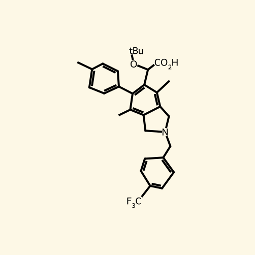 Cc1ccc(-c2c(C)c3c(c(C)c2C(OC(C)(C)C)C(=O)O)CN(Cc2ccc(C(F)(F)F)cc2)C3)cc1